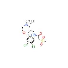 CS(=O)(=O)CC(=O)NC[C@@H]1CN(C(=O)O)CCO[C@H]1c1ccc(Cl)c(Cl)c1